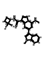 CNc1cc(-c2cn(C)c3ncccc23)nc2c(C(=O)N[C@H]3CCC3(F)F)cnn12